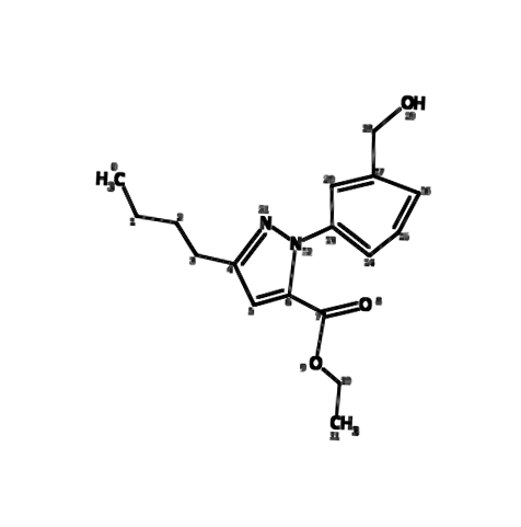 CCCCc1cc(C(=O)OCC)n(-c2cccc(CO)c2)n1